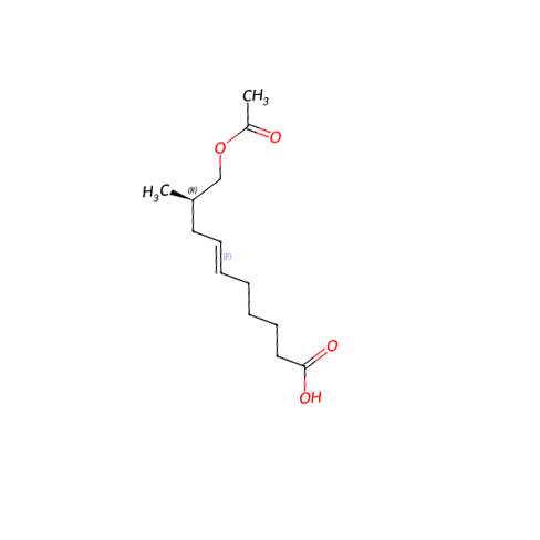 CC(=O)OC[C@H](C)C/C=C/CCCCC(=O)O